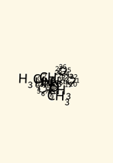 CC(C)c1cccc(C(C)C)c1NC(=O)NCC1c2ccccc2-c2ccccc21